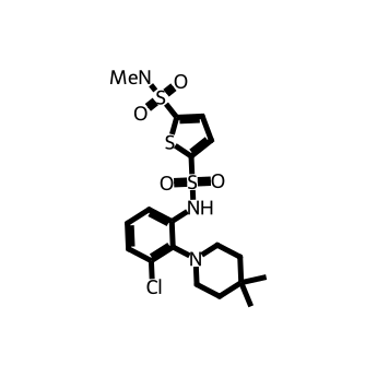 CNS(=O)(=O)c1ccc(S(=O)(=O)Nc2cccc(Cl)c2N2CCC(C)(C)CC2)s1